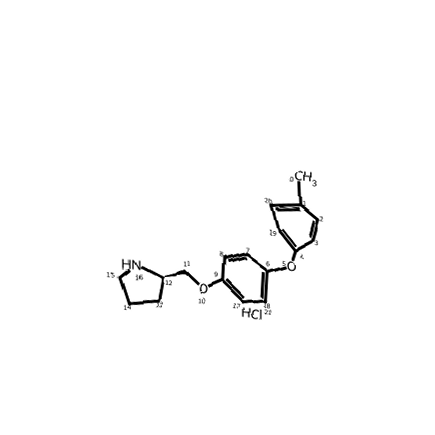 Cc1ccc(Oc2ccc(OC[C@H]3CCCN3)cc2)cc1.Cl